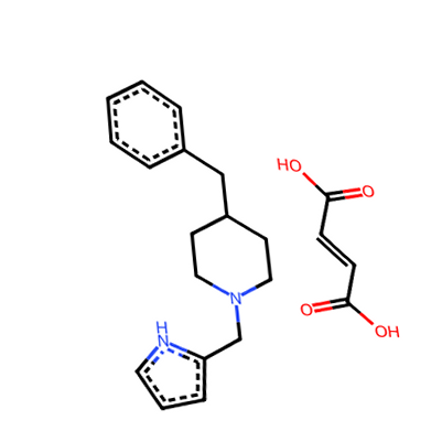 O=C(O)C=CC(=O)O.c1ccc(CC2CCN(Cc3ccc[nH]3)CC2)cc1